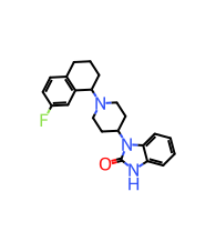 O=c1[nH]c2ccccc2n1C1CCN(C2CCCc3ccc(F)cc32)CC1